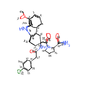 COc1cccc2c3c([nH]c12)CCC(NC(=O)Cc1ccc(Cl)cc1)(C(=O)N1CCCC1C(N)=O)C3